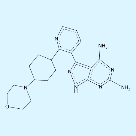 Nc1nc(N)c2c(-c3cccnc3C3CCC(N4CCOCC4)CC3)n[nH]c2n1